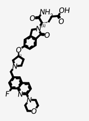 NC(=O)[C@H](CCC(=O)O)N1Cc2cc(O[C@H]3CCN(Cc4cc(F)c5nc(N6CCOCC6)ccc5c4)C3)ccc2C1=O